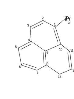 CC(C)c1ccc2cccc3c2c1C=CC3